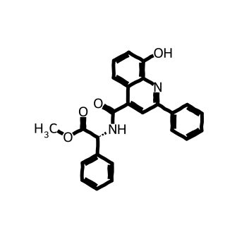 COC(=O)[C@H](NC(=O)c1cc(-c2ccccc2)nc2c(O)cccc12)c1ccccc1